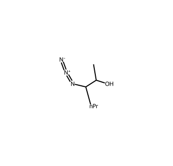 CCCC(N=[N+]=[N-])C(C)O